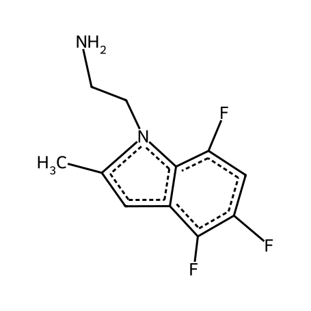 Cc1cc2c(F)c(F)cc(F)c2n1CCN